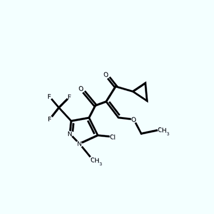 CCOC=C(C(=O)c1c(C(F)(F)F)nn(C)c1Cl)C(=O)C1CC1